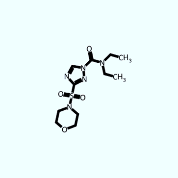 CCN(CC)C(=O)n1cnc(S(=O)(=O)N2CCOCC2)n1